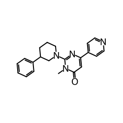 Cn1c(N2CCCC(c3ccccc3)C2)nc(-c2ccncc2)cc1=O